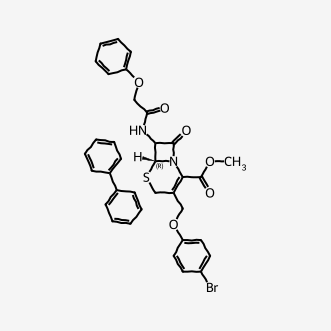 COC(=O)C1=C(COc2ccc(Br)cc2)CS[C@@H]2C(NC(=O)COc3ccccc3)C(=O)N12.c1ccc(-c2ccccc2)cc1